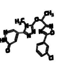 CC(Oc1nnc(-c2cn[nH]c(=O)c2)n1C)c1noc(-c2cccc(Cl)c2)n1